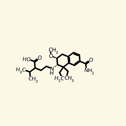 CCC1(CC)c2cc(C(N)=O)ccc2C[C@H](OC)[C@H]1NCCC(C(=O)O)C(C)C